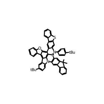 CC(C)(C)c1ccc(N2B3c4cc5c(cc4-n4c6ccc(C(C)(C)C)cc6c6c7c(oc8ccccc87)c(c3c64)-c3cc4c(cc32)sc2ccccc24)-c2ccccc2C5(C)C)cc1